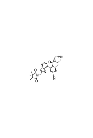 Cc1nc(C#N)cc(-c2ccnc3cc(CN4C(=O)C(C)C(C)(C)C4=O)sc23)c1C(=O)N1CCNCC1